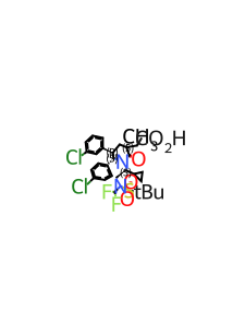 CC(C)(C)S(=O)(=O)N(C[C@H](C1CC1)N1C(=O)[C@](C)(CC(=O)O)C[C@H](c2cccc(Cl)c2)[C@H]1c1ccc(Cl)cc1)C(F)F